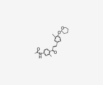 CC(=O)Nc1ccc(C(=O)/C=C/c2ccc(OC3CCCCO3)c(C)c2)c(C)c1